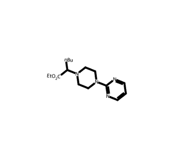 CCCCC(C(=O)OCC)N1CCN(c2ncccn2)CC1